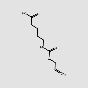 C=CCOC(=O)NCCCCC(=O)O